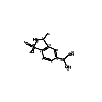 CC1NS(=O)(=O)c2ccc(B(O)O)cc21